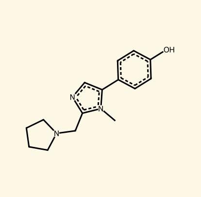 Cn1c(-c2ccc(O)cc2)cnc1CN1CCCC1